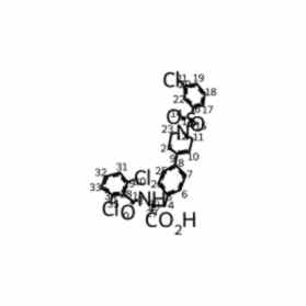 O=C(N[C@@H](Cc1ccc(C2=CCN(S(=O)(=O)c3cccc(Cl)c3)CC2)cc1)C(=O)O)c1c(Cl)cccc1Cl